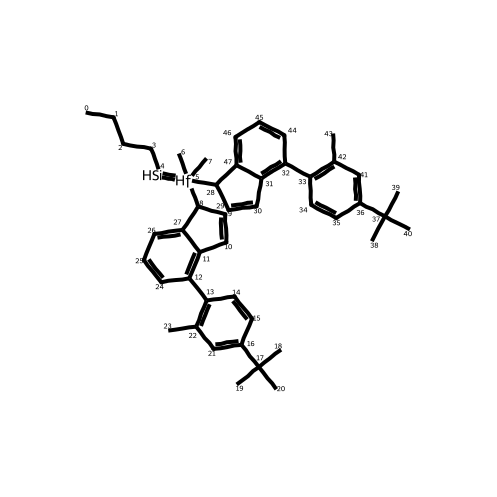 CCCC[SiH]=[Hf]([CH3])([CH3])([CH]1C=Cc2c(-c3ccc(C(C)(C)C)cc3C)cccc21)[CH]1C=Cc2c(-c3ccc(C(C)(C)C)cc3C)cccc21